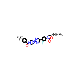 CC(=O)NC[C@H]1CN(c2ccc(-c3cnc(N4CCN(C(=O)c5ccc(C(F)(F)F)cc5)CC4)nc3)c(F)c2)C(=O)O1